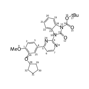 COc1ccc(-c2ccnc(-n3c(=O)n(C(=O)OC(C)(C)C)c4ccccc43)n2)cc1OC1CCCC1